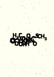 CSCC[C@@H](NC=O)C(=O)N[C@@H]1CC(C)N([C@H](Cc2ccccc2)C(=O)O)C1=O